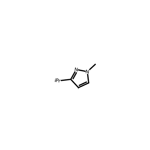 CC(C)c1[c]cn(C)n1